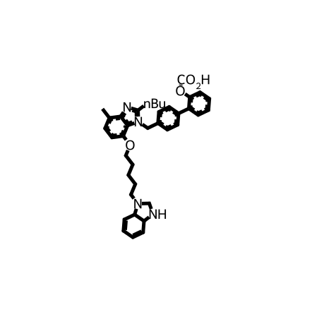 CCCCc1nc2c(C)ccc(OCCCCCN3CNC4C=CC=CC43)c2n1Cc1ccc(-c2ccccc2OC(=O)O)cc1